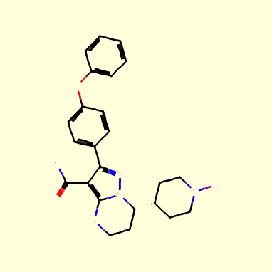 NC(=O)c1c(-c2ccc(Oc3ccccc3)cc2)nn2c1NCC[C@H]2C1CCN(P)CC1